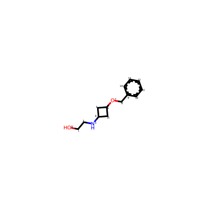 OCCNC1CC(OCc2ccccc2)C1